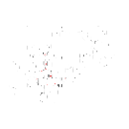 CC(C)C[C@H](NC(=O)[C@H](Cc1ccc(O)cc1)NC(=O)[C@H](Cc1c[nH]cn1)NC(=O)[C@H](CC(C)C)NC(=O)[C@@H](N)CO)C(=O)N[C@@H](CO)C(=O)N1CCC[C@H]1C(=O)N[C@H](C(=O)NCC(=O)N[C@H](C(=O)N[C@@H](CC(N)=O)C(=O)N[C@@H](CCC(=O)O)C(=O)N[C@@H](Cc1ccc(O)cc1)C(=O)N[C@@H](CO)C(=O)N1CCC[C@H]1C(=O)N[C@H](C(=O)N[C@@H](CCCNC(N)=O)C(=O)N[C@@H](CCCCN)C(=O)O)C(C)C)C(C)C)[C@@H](C)O